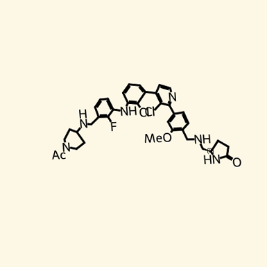 COc1cc(-c2nccc(-c3cccc(Nc4cccc(CNC5CCN(C(C)=O)CC5)c4F)c3Cl)c2Cl)ccc1CNC[C@H]1CCC(=O)N1